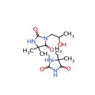 CC(O)CN1C(=O)NC(C)(C)C1=O.CC1(C)NC(=O)NC1=O